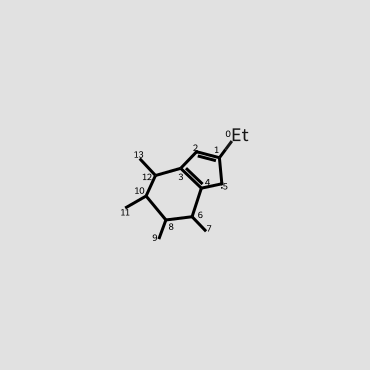 CCC1=CC2=C([CH]1)C(C)C(C)C(C)C2C